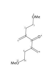 C=C(CCOC)C(=O)C(=C)CCOC